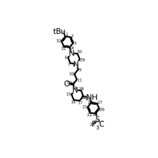 CC(C)(C)c1ccc(N2CCN(CCCC(=O)N3CCC[C@H](Nc4ccc(SC(F)(F)F)cc4)C3)CC2)cc1